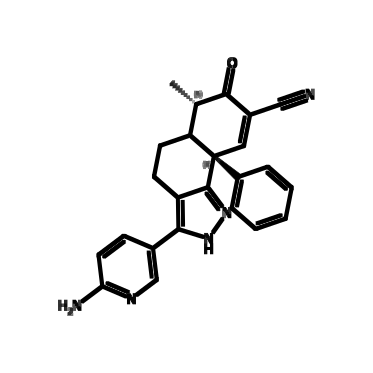 C[C@@H]1C(=O)C(C#N)=C[C@]2(c3ccccc3)c3n[nH]c(-c4ccc(N)nc4)c3CCC12